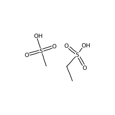 CCS(=O)(=O)O.CS(=O)(=O)O